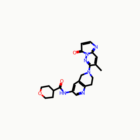 Cc1cc2nccc(=O)n2nc1N1CCc2ncc(NC(=O)C3CCOCC3)cc2C1